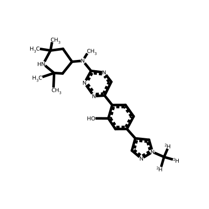 [2H]C([2H])([2H])n1cc(-c2ccc(-c3cnc(N(C)C4CC(C)(C)NC(C)(C)C4)nn3)c(O)c2)cn1